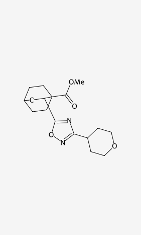 COC(=O)C12CCC(CC1)CC2c1nc(C2CCOCC2)no1